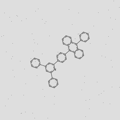 c1ccc(-c2cc(-c3ccccc3)nc(-c3ccc(-c4c5ccccc5c(-c5ccccc5)c5ccccc45)cc3)c2)cc1